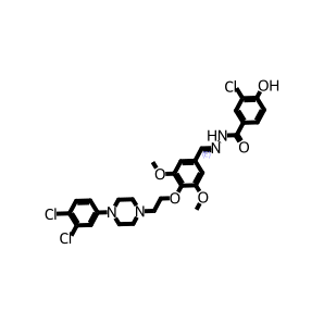 COc1cc(/C=N/NC(=O)c2ccc(O)c(Cl)c2)cc(OC)c1OCCN1CCN(c2ccc(Cl)c(Cl)c2)CC1